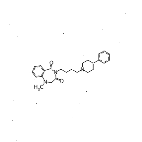 CN1CC(=O)N(CCCCN2CCC(c3ccccc3)CC2)C(=O)c2ccccc21